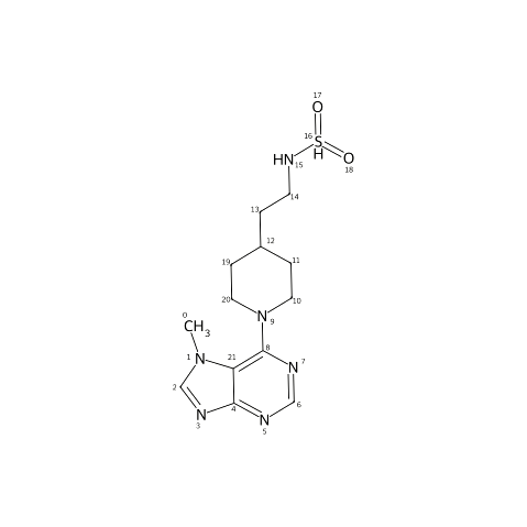 Cn1cnc2ncnc(N3CCC(CCN[SH](=O)=O)CC3)c21